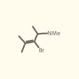 CNC(C)C(Br)=C(C)C